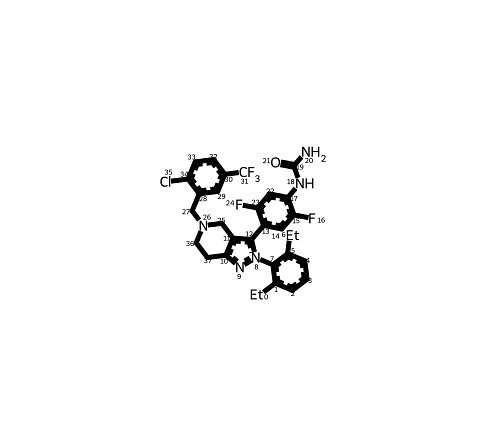 CCc1cccc(CC)c1-n1nc2c(c1-c1cc(F)c(NC(N)=O)cc1F)CN(Cc1cc(C(F)(F)F)ccc1Cl)CC2